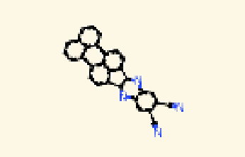 N#Cc1cc2nc3c(nc2cc1C#N)-c1ccc2c4cccc5cccc(c6ccc-3c1c62)c54